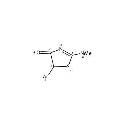 CNC1=NC(=O)C(C(C)=O)S1